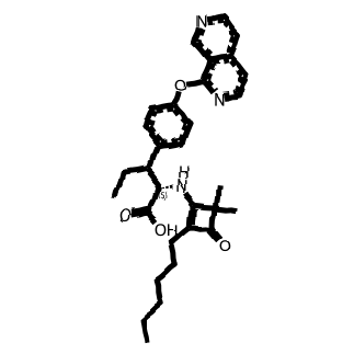 CCCCCCC1=C(N[C@H](C(=O)O)C(CC)c2ccc(Oc3nccc4ccncc34)cc2)C(C)(C)C1=O